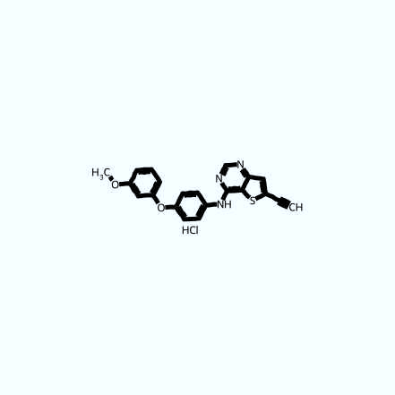 C#Cc1cc2ncnc(Nc3ccc(Oc4cccc(OC)c4)cc3)c2s1.Cl